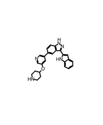 c1ccc2[nH]c(-c3n[nH]c4ccc(-c5cncc(OC6CCNCC6)c5)cc34)cc2c1